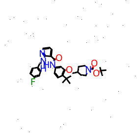 CC(C)(C)OC(=O)N1CCC(COc2cc(NC(=O)c3cccnc3NCc3ccc(F)cc3)ccc2C(C)(C)C)CC1